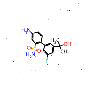 CC(C)(O)c1cc(F)cc(-c2ccc(N)cc2S(N)(=O)=O)c1